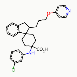 O=C(O)C1(Nc2cccc(Cl)c2)CCC2(CC1)c1ccccc1CC2CCCOc1ccncc1